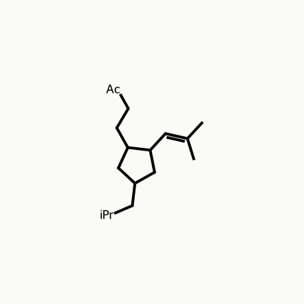 CC(=O)CCC1CC(CC(C)C)CC1C=C(C)C